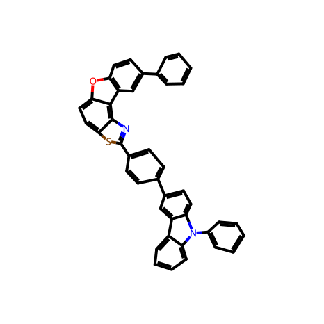 c1ccc(-c2ccc3oc4ccc5sc(-c6ccc(-c7ccc8c(c7)c7ccccc7n8-c7ccccc7)cc6)nc5c4c3c2)cc1